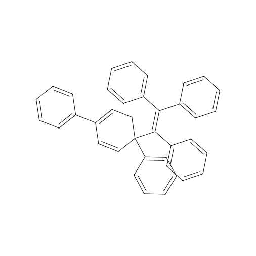 C1=CC(C(=C(c2ccccc2)c2ccccc2)c2ccccc2)(c2ccccc2)CC=C1c1ccccc1